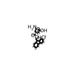 Cl.NCCN(CC(=O)O)C(=O)OCC1c2ccccc2-c2ccccc21